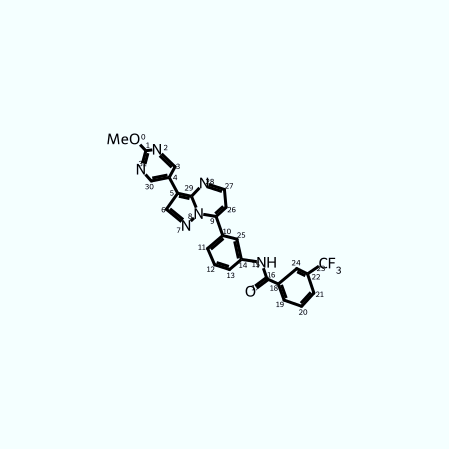 COc1ncc(-c2cnn3c(-c4cccc(NC(=O)c5cccc(C(F)(F)F)c5)c4)ccnc23)cn1